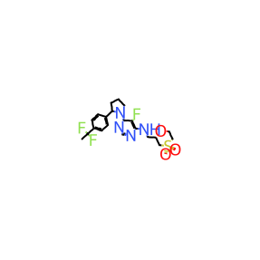 CC(F)(F)c1ccc(C2CCCN2c2ncnc(NCC3CS(=O)(=O)CCO3)c2F)cc1